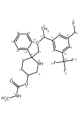 CNC(=O)OC1CCC(COC(C)c2cc(CF)cc(C(F)(F)F)c2)(c2ccccc2)NC1